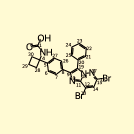 O=C(O)NC1(c2ccc(-c3nc4c(Br)cc(Br)nn4c3-c3ccccc3)cc2)CCC1